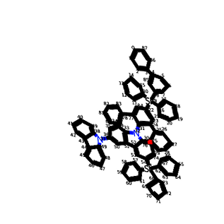 c1ccc(-c2cccc([Si](c3ccccc3)(c3ccccc3)c3cc(-c4ccccc4)c(-n4c5ccc(-n6c7ccccc7c7ccccc76)cc5c5cc([Si](c6ccccc6)(c6ccccc6)c6ccccc6)ccc54)c(-c4ccccc4)c3)c2)cc1